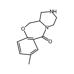 Cc1ccc2c(c1)C(=O)N1CCNCC1CO2